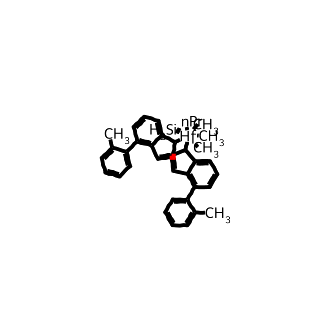 CC[CH2][Hf]([CH3])([CH3])([CH3])(=[SiH2])([CH]1C=Cc2c(-c3ccccc3C)cccc21)[CH]1C=Cc2c(-c3ccccc3C)cccc21